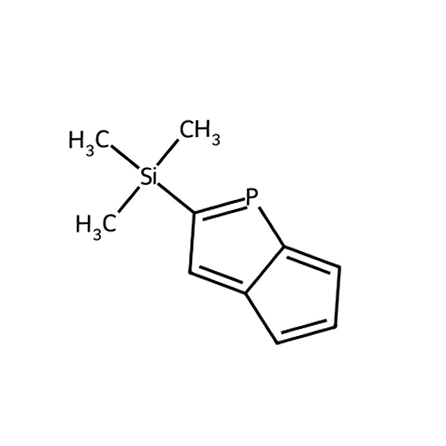 C[Si](C)(C)C1=PC2=CC=CC2=C1